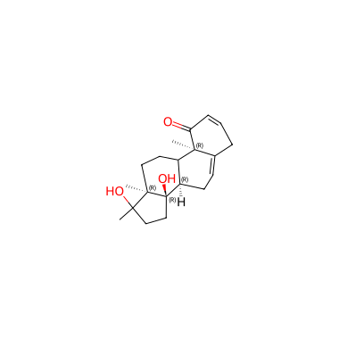 CC1(O)CC[C@@]2(O)[C@@H]3CC=C4CC=CC(=O)[C@]4(C)C3CC[C@]12C